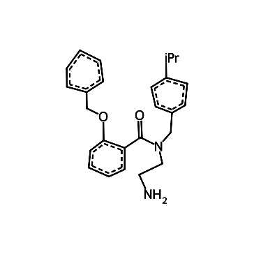 CC(C)c1ccc(CN(CCN)C(=O)c2ccccc2OCc2ccccc2)cc1